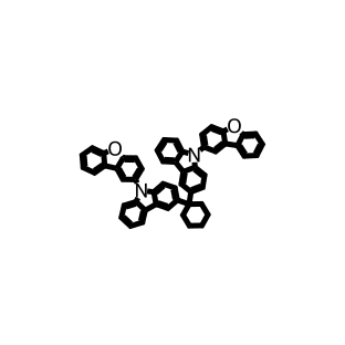 c1ccc2c(c1)oc1ccc(-n3c4ccccc4c4cc(C5(c6ccc7c(c6)c6ccccc6n7-c6ccc7oc8ccccc8c7c6)CCCCC5)ccc43)cc12